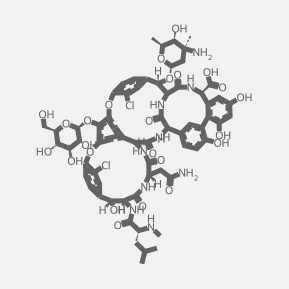 CN[C@H](CC(C)C)C(=O)N[C@H]1C(=O)N[C@@H](CC(N)=O)C(=O)N[C@H]2C(=O)N[C@H]3C(=O)NC(C(=O)N[C@@H](C(=O)O)c4cc(O)cc(O)c4-c4cc3ccc4O)[C@H](O[C@H]3C[C@](C)(N)[C@@H](O)[C@H](C)O3)c3ccc(c(Cl)c3)Oc3cc2cc(c3O[C@@H]2O[C@H](CO)[C@@H](O)[C@H](O)[C@H]2O)Oc2ccc(cc2Cl)[C@H]1O